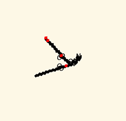 CCCCCCCCCCCCCCCC(=O)OCCCCCC(O)C(CCCCOC(=O)CCCCCCCCCCCCCCC)CN1CCN(c2cccnc2)CC1